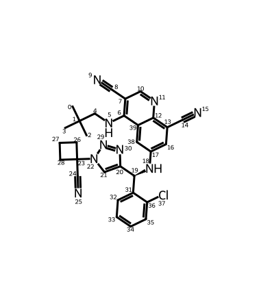 CC(C)(C)CNc1c(C#N)cnc2c(C#N)cc(N[C@H](c3cn(C4(C#N)CCC4)nn3)c3ccccc3Cl)cc12